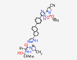 C=C1C[C@@H](c2ncc(-c3ccc4cc(-c5ccc(-c6cnc([C@@H]7C[C@H](C#N)CN7C(=O)OC(C)(C)C)[nH]6)cc5)ccc4c3)[nH]2)N(C(=O)[C@@H](NC(O)OC)C(C)C)C1